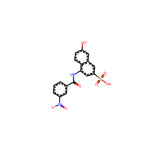 O=C(Nc1cc(S(=O)(=O)O)cc2cc(O)ccc12)c1cccc([N+](=O)[O-])c1